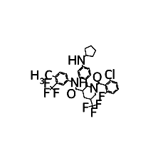 Cc1ccc(NC(=O)C2CC(C(F)(F)F)CN(C(=O)c3c(F)cccc3Cl)C2c2ccc(NC3CCCC3)cc2)cc1C(F)(F)F